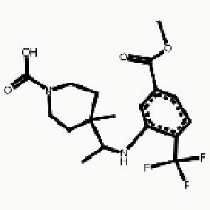 COC(=O)c1ccc(C(F)(F)F)c(NC(C)C2(C)CCN(C(=O)O)CC2)c1